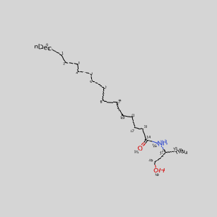 CCCCCCCCCCCCCCCCCCCCCCCC(=O)NC(CO)CCCC